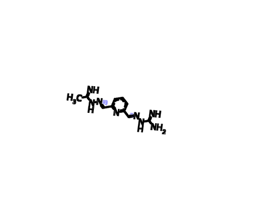 CC(=N)N/N=C/c1cccc(/C=N/NC(=N)N)n1